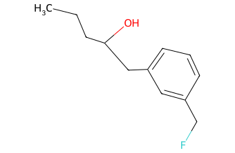 CCCC(O)Cc1cccc(CF)c1